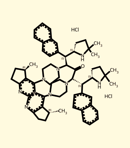 C[C@@H]1CCc2ncnc(N3CCN(C(C(=O)C([C@@H](c4ccc5ccccc5c4)[C@@H]4CCC(C)(C)N4)N4CCN(c5ncnc6c5[C@H](C)CC6)CC4)[C@@H](c4ccc5ccccc5c4)[C@@H]4CCC(C)(C)N4)CC3)c21.Cl.Cl